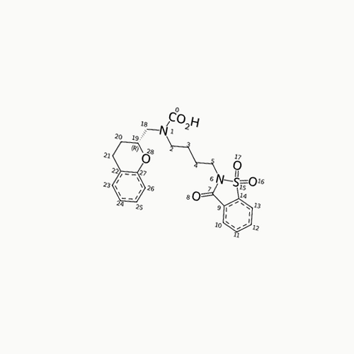 O=C(O)N(CCCCN1C(=O)c2ccccc2S1(=O)=O)C[C@H]1CCc2ccccc2O1